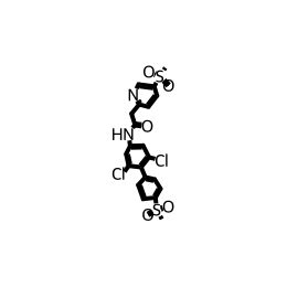 CS(=O)(=O)c1ccc(-c2c(Cl)cc(NC(=O)Cc3ccc(S(C)(=O)=O)cn3)cc2Cl)cc1